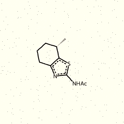 CC(=O)Nc1nc2c(s1)[C@@H](C)CCC2